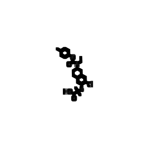 CCN(C(=O)Oc1ccc(C)cc1)C1CCc2cc(SC(C)(C)C(=O)O)c(Cl)cc2C1